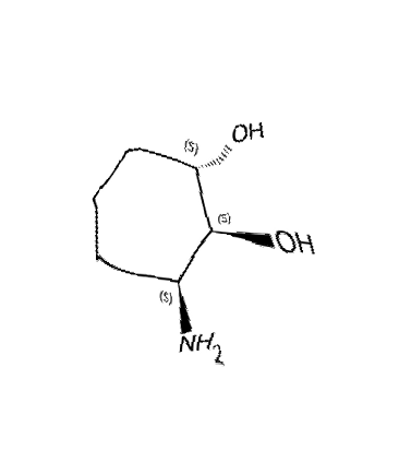 N[C@H]1CCC[C@H](O)[C@H]1O